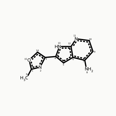 Cc1nc(-c2cc3c(N)ccnc3[nH]2)co1